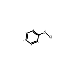 ClOc1c[c]ncc1